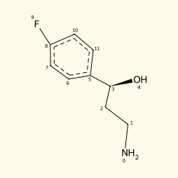 NCC[C@H](O)c1ccc(F)cc1